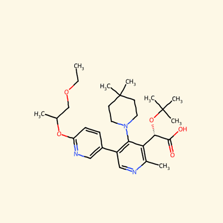 CCOCC(C)Oc1ccc(-c2cnc(C)c([C@H](OC(C)(C)C)C(=O)O)c2N2CCC(C)(C)CC2)cn1